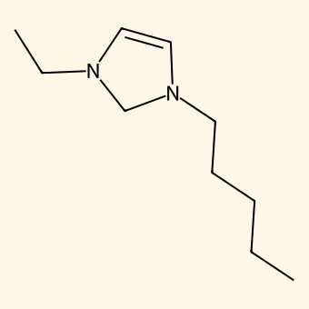 CCCCCN1C=CN(CC)C1